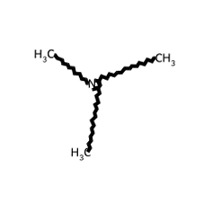 CCCCCCCCCCCCCCCCc1cc(CCCCCCCCCCCCCCCC)c[n+](CCCCCCCCCCCCC)c1